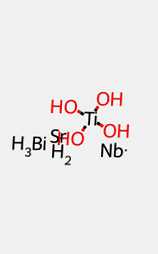 [BiH3].[Nb].[OH][Ti]([OH])([OH])[OH].[SrH2]